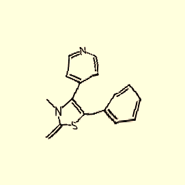 C=C1SC(c2ccccc2)=C(c2ccncc2)N1C